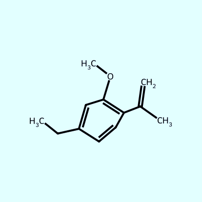 C=C(C)c1ccc(CC)cc1OC